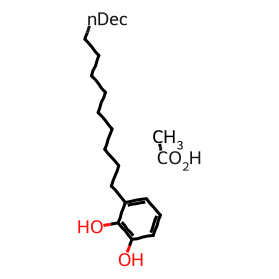 CC(=O)O.CCCCCCCCCCCCCCCCCCCc1cccc(O)c1O